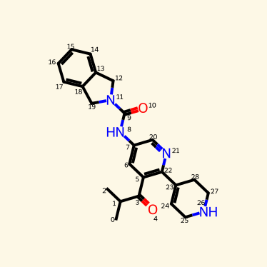 CC(C)C(=O)c1cc(NC(=O)N2Cc3ccccc3C2)cnc1C1=CCNCC1